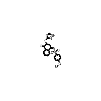 CCOc1ccc(S(=O)(=O)/N=C2/C=C(Sc3nc[nH]n3)C(=O)c3ccccc32)cc1